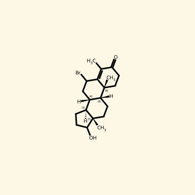 CC1=C2C(Br)C[C@@H]3[C@@H](CC[C@]4(C)C(O)CC[C@@H]34)[C@@]2(C)CCC1=O